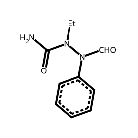 CCN(C(N)=O)N([C]=O)c1ccccc1